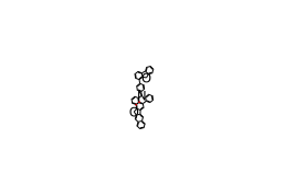 c1ccc(N(c2ccc(-c3cccc4c3oc3ccccc34)cc2)c2ccccc2-c2ccc3oc4cc5ccccc5cc4c3c2)cc1